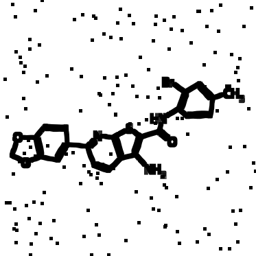 Cc1ccc(NC(=O)c2sc3nc(-c4ccc5c(c4)OCO5)ccc3c2N)c(Br)c1